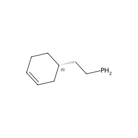 PCC[C@@H]1CC=CCC1